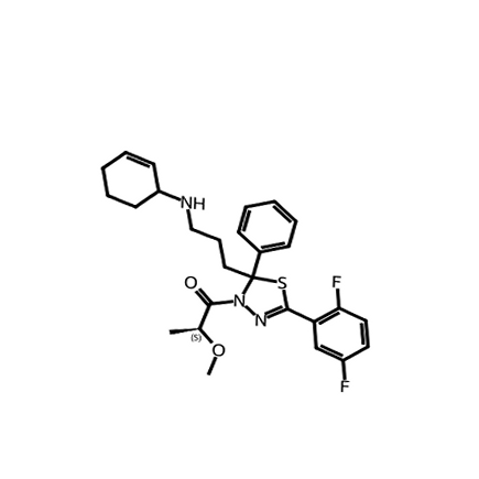 CO[C@@H](C)C(=O)N1N=C(c2cc(F)ccc2F)SC1(CCCNC1C=CCCC1)c1ccccc1